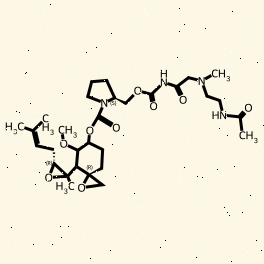 COC1C(OC(=O)N2CCC[C@H]2COC(=O)NC(=O)CN(C)CCNC(C)=O)CC[C@]2(CO2)C1C1(C)O[C@@H]1CC=C(C)C